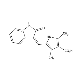 Cc1[nH]c(C=C2C(=O)Nc3ccccc32)c(C)c1C(=O)O